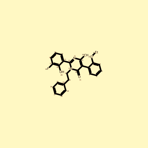 CCOc1ccccc1-c1c(C)nc(-c2cccc(F)c2O)n(CCc2ccccc2)c1=O